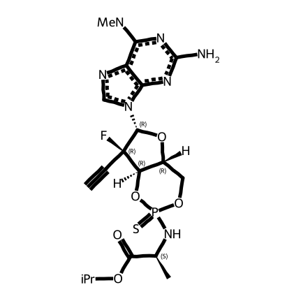 C#C[C@@]1(F)[C@@H]2OP(=S)(N[C@@H](C)C(=O)OC(C)C)OC[C@H]2O[C@H]1n1cnc2c(NC)nc(N)nc21